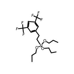 CCCO[Si](CCc1cc(C(F)(F)F)cc(C(F)(F)F)c1)(OCCC)OCCC